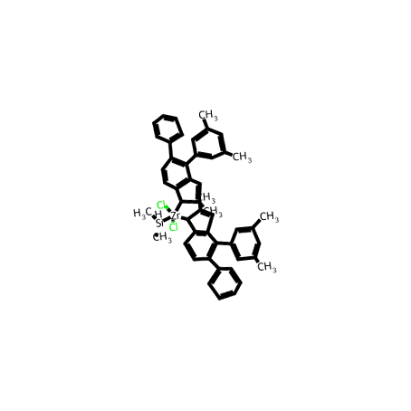 CC1=Cc2c(ccc(-c3ccccc3)c2-c2cc(C)cc(C)c2)[CH]1[Zr]([Cl])([Cl])([CH]1C(C)=Cc2c1ccc(-c1ccccc1)c2-c1cc(C)cc(C)c1)[SiH](C)C